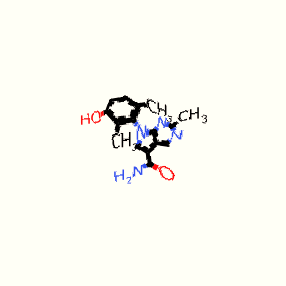 Cc1ncc2c(C(N)=O)cn(-c3c(C)ccc(O)c3C)c2n1